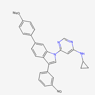 COc1ccc(-c2ccc3c(-c4cccc(N=O)c4)cn(-c4cc(NC5CC5)ncn4)c3c2)cc1